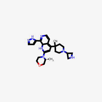 C[C@@H]1COCCN1C1=CC(C2(C#N)CCN(C3CNC3)CC2)=C2C=CN=C(c3ccn[nH]3)C2N1